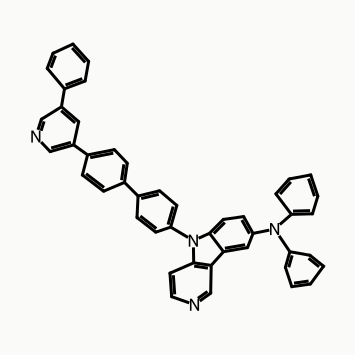 c1ccc(-c2cncc(-c3ccc(-c4ccc(-n5c6ccncc6c6cc(N(c7ccccc7)c7ccccc7)ccc65)cc4)cc3)c2)cc1